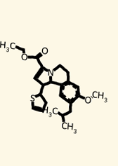 CCOC(=O)C1=CC(C2CC=CS2)C2c3cc(CC(C)C)c(OC)cc3CCN12